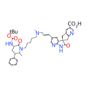 CC1C(c2ccccc2)CC(NC(=O)OC(C)(C)C)C(=O)N1CCCCCN(C)C/C=C/c1cnc2c(c1)[C@@]1(Cc3cc(C(=O)O)cnc3C1)C(=O)N2